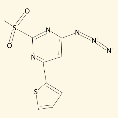 CS(=O)(=O)c1nc(N=[N+]=[N-])cc(-c2cccs2)n1